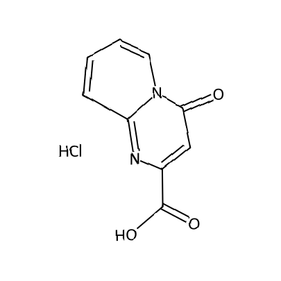 Cl.O=C(O)c1cc(=O)n2ccccc2n1